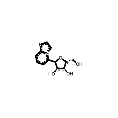 OC[C@H]1OC(c2cccc3nccn23)[C@H](O)[C@@H]1O